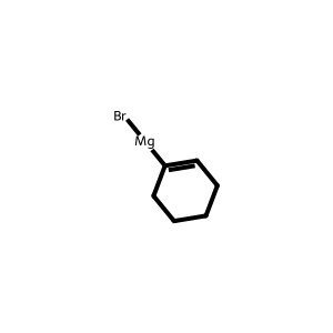 [Br][Mg][C]1=CCCCC1